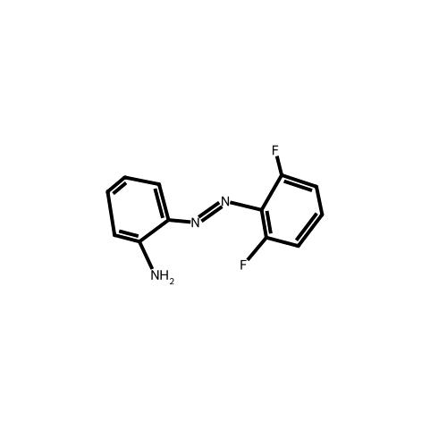 Nc1ccccc1N=Nc1c(F)cccc1F